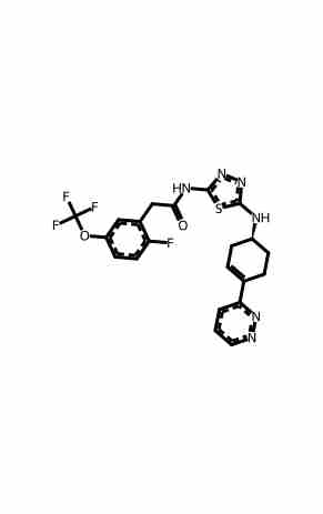 O=C(Cc1cc(OC(F)(F)F)ccc1F)Nc1nnc(N[C@@H]2CC=C(c3cccnn3)CC2)s1